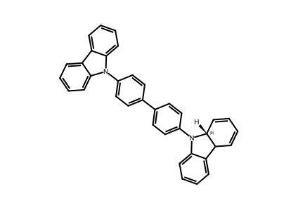 C1=CC2c3ccccc3N(c3ccc(-c4ccc(-n5c6ccccc6c6ccccc65)cc4)cc3)[C@@H]2C=C1